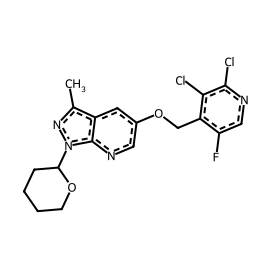 Cc1nn(C2CCCCO2)c2ncc(OCc3c(F)cnc(Cl)c3Cl)cc12